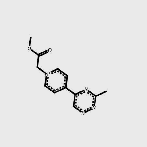 COC(=O)C[n+]1ccc(-c2cnnc(C)n2)cc1